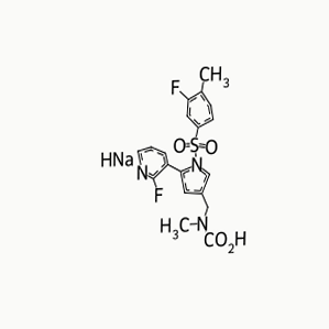 Cc1ccc(S(=O)(=O)n2cc(CN(C)C(=O)O)cc2-c2cccnc2F)cc1F.[NaH]